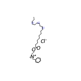 CC/C=C\C/C=C\C/C=C\CCCCCCCC(=O)OCC[N+](C)(C)Cc1ccccc1.[Cl-]